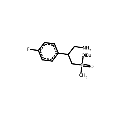 CC(C)COP(C)(=O)CC(CN)c1ccc(F)cc1